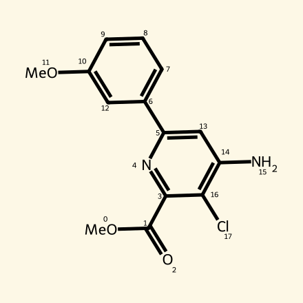 COC(=O)c1nc(-c2cccc(OC)c2)cc(N)c1Cl